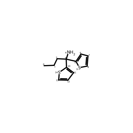 CCCC(N)(c1cccs1)c1cccs1